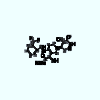 CNC(=O)C(=N)C1=C(NCc2ccccc2C(F)F)CCN(c2cn[nH]c(=O)c2Cl)C1